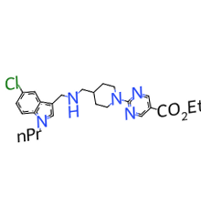 CCCn1cc(CNCC2CCN(c3ncc(C(=O)OCC)cn3)CC2)c2cc(Cl)ccc21